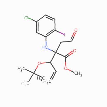 C=CC(OC(C)(C)C)C(CC=O)(Nc1cc(Cl)ccc1I)C(=O)OC